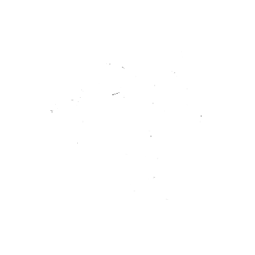 CO[C@H]1Cc2c(O)cc(O)cc2O[C@H]1c1ccc(O)c(O)c1.O=C(O)c1cc(O)c(O)c(O)c1